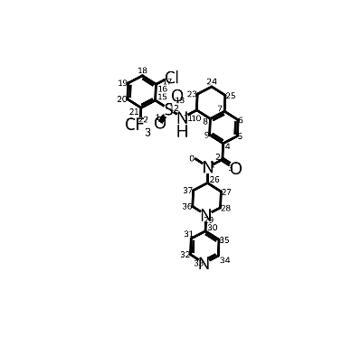 CN(C(=O)c1ccc2c(c1)C(NS(=O)(=O)c1c(Cl)cccc1C(F)(F)F)CCC2)C1CCN(c2ccncc2)CC1